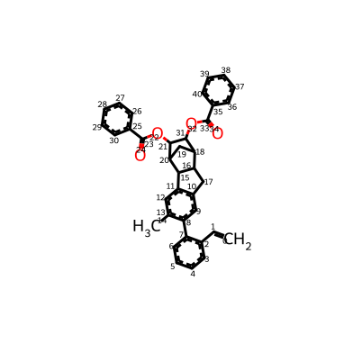 C=Cc1ccccc1-c1cc2c(cc1C)C1C(C2)C2CC1C(OC(=O)c1ccccc1)C2OC(=O)c1ccccc1